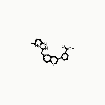 Cc1ccc2nnc(Cc3ccc4ncc(-c5cccc(C(=O)O)c5)cc4c3)n2n1